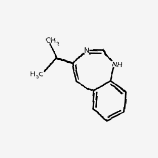 CC(C)C1=Cc2ccccc2NC=N1